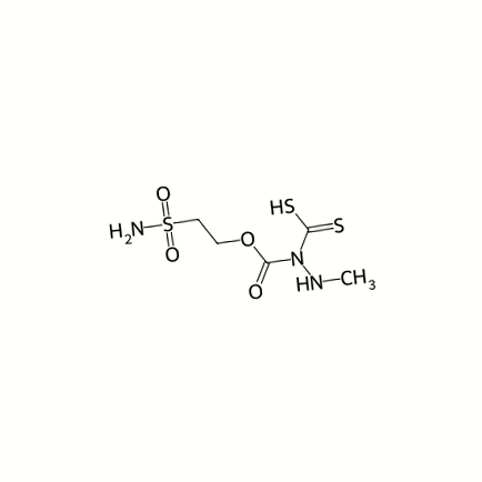 CNN(C(=O)OCCS(N)(=O)=O)C(=S)S